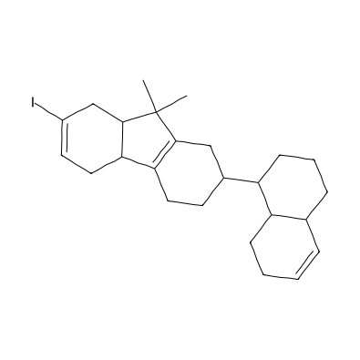 CC1(C)C2=C(CCC(C3CCCC4C=CCCC43)C2)C2CC=C(I)CC21